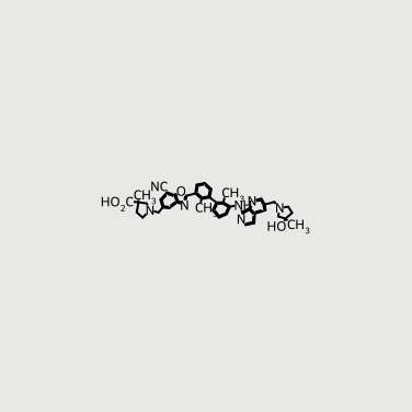 Cc1c(Nc2nccc3cc(CN4CCC(C)(O)C4)cnc23)cccc1-c1cccc(-c2nc3cc(CN4CCC(C)(C(=O)O)C4)cc(C#N)c3o2)c1C